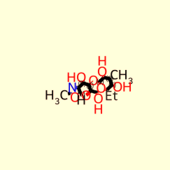 CCC1O[C@@H](O[C@@H]2C(CO)O[C@H]3OC(C)=NC3[C@H]2O)C(O)[C@@H](C)[C@@H]1O